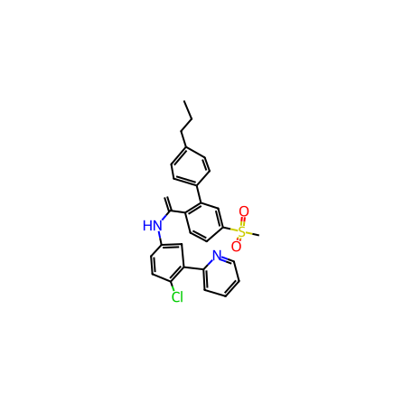 C=C(Nc1ccc(Cl)c(-c2ccccn2)c1)c1ccc(S(C)(=O)=O)cc1-c1ccc(CCC)cc1